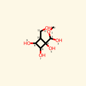 COC(O)C1(O)C(O)C(O)C1CO